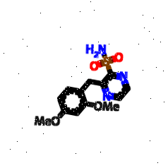 COc1ccc(Cc2nccnc2S(N)(=O)=O)c(OC)c1